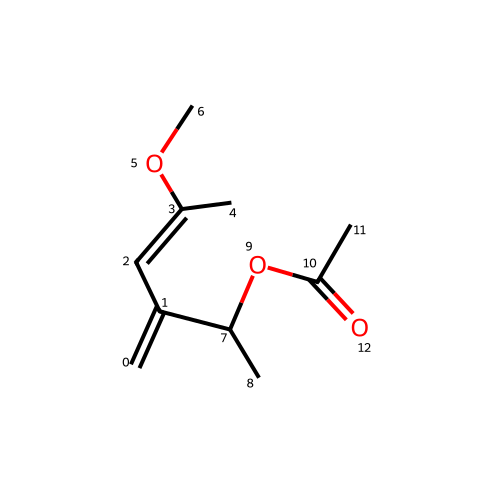 C=C(/C=C(\C)OC)C(C)OC(C)=O